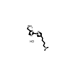 CN(C)CCCCc1cnn(-c2ncc(CN)s2)c1.Cl